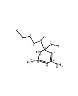 CCCCC(C)C1(SC)N=C(N)N=C(N)N1